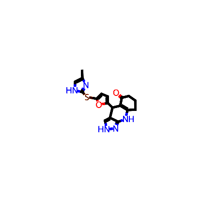 Cc1c[nH]c(Sc2ccc(C3C4=C(CCCC4=O)Nc4n[nH]cc43)o2)n1